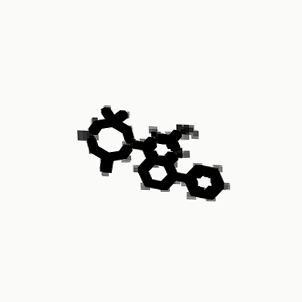 C=C1CNCC(C)(C)CN(c2nc(N)nc3c2CCCC3c2ccccc2)C1